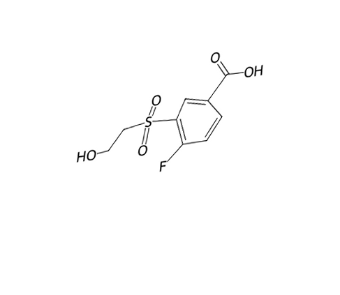 O=C(O)c1ccc(F)c(S(=O)(=O)CCO)c1